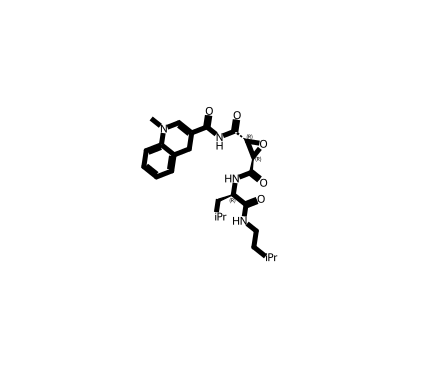 CC(C)CCNC(=O)[C@@H](CC(C)C)NC(=O)[C@@H]1O[C@H]1C(=O)NC(=O)C1=CN(C)c2ccccc2C1